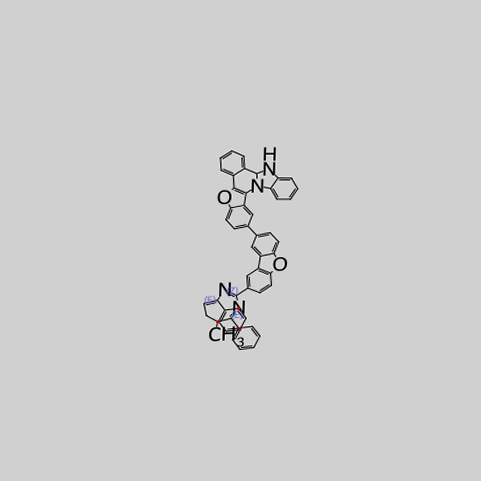 CC1C/C=C(c2ccccc2)/N=C(c2ccc3oc4ccc(-c5ccc6oc7c(c6c5)N5c6ccccc6NC5c5ccccc5-7)cc4c3c2)\N=C/1c1ccccc1